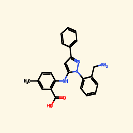 Cc1ccc(Nc2cc(-c3ccccc3)nn2-c2ccccc2CN)c(C(=O)O)c1